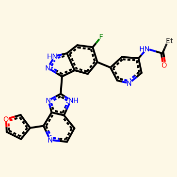 CCC(=O)Nc1cncc(-c2cc3c(-c4nc5c(-c6ccoc6)nccc5[nH]4)n[nH]c3cc2F)c1